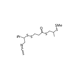 CSSC(C)CSC(=O)CCSSC(CN=C=S)C(C)C